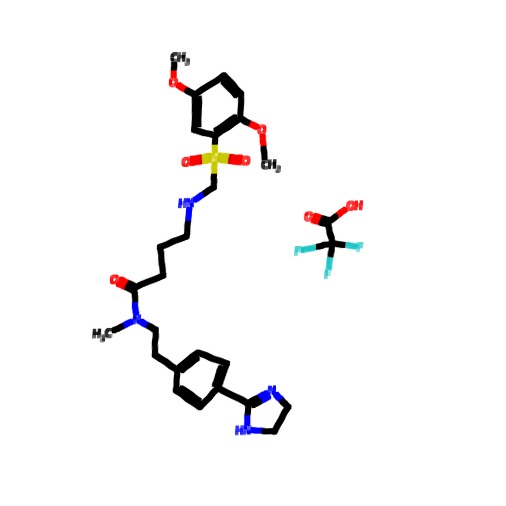 COc1ccc(OC)c(S(=O)(=O)CNCCCC(=O)N(C)CCc2ccc(C3=NCCN3)cc2)c1.O=C(O)C(F)(F)F